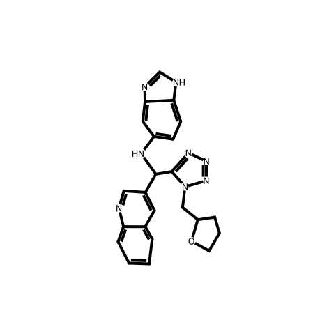 c1ccc2ncc(C(Nc3ccc4[nH]cnc4c3)c3nnnn3CC3CCCO3)cc2c1